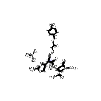 CCN(CC)CC.NC(=O)[C@@H]1[C@H](NC(=O)/C(=N\OCC(=O)OCc2ccc([N+](=O)[O-])cc2)c2csc(N)n2)C(=O)N1S(=O)(=O)O